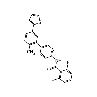 Cc1ccc(-c2cccs2)cc1-c1ccc(NC(=O)c2c(F)cccc2F)nc1